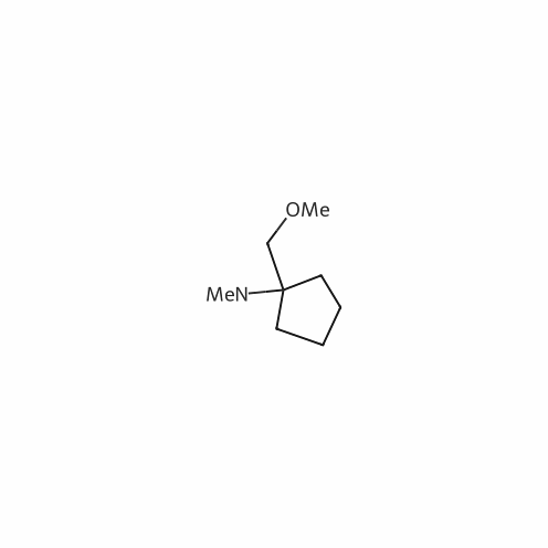 CNC1(COC)CCCC1